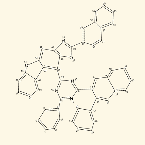 c1ccc(-c2nc(-c3cc4ccccc4cc3-c3ccccc3)nc(-c3c4oc(-c5ccc6ccccc6c5)nc4cc4oc5ccccc5c34)n2)cc1